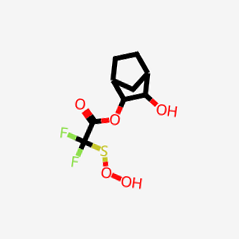 O=C(OC1C2CCC(C2)C1O)C(F)(F)SOO